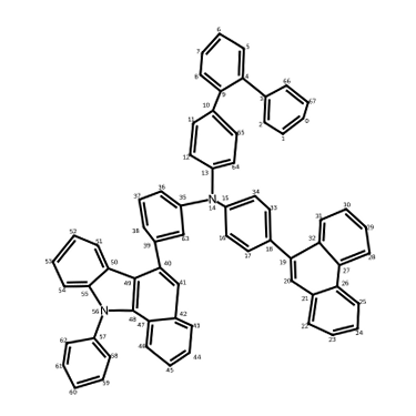 c1ccc(-c2ccccc2-c2ccc(N(c3ccc(-c4cc5ccccc5c5ccccc45)cc3)c3cccc(-c4cc5ccccc5c5c4c4ccccc4n5-c4ccccc4)c3)cc2)cc1